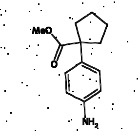 COC(=O)C1(c2ccc(N)cc2)CCCC1